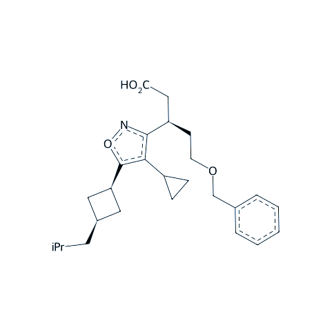 CC(C)C[C@H]1C[C@@H](c2onc([C@H](CCOCc3ccccc3)CC(=O)O)c2C2CC2)C1